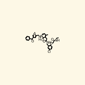 CCNC(=O)COc1ccc(Cl)cc1CNC(=O)Cc1c(C)ccn(NCc2cc(C(=O)c3ccccc3)cn2C)c1=O